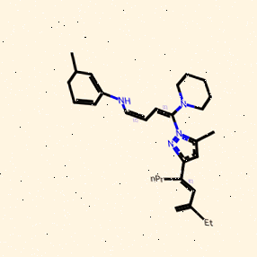 C=C(/C=C(\CCC)c1cc(C)n(/C(=C\C=C/NC2=CC(C)CC=C2)N2CCCCC2)n1)CC